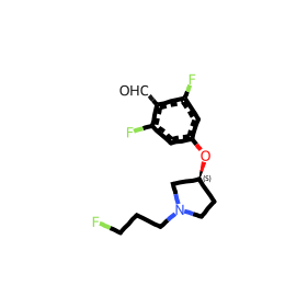 O=Cc1c(F)cc(O[C@H]2CCN(CCCF)C2)cc1F